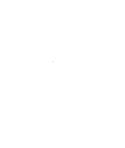 Brc1ccc2c(c1)C1(C3CC4CC(C3)CC1C4)C1C=CC=CC21